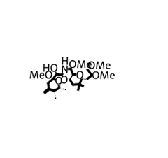 C=C1C[C@](OC)([C@H](O)C(=O)N[C@@H](OC)[C@@H]2CCC(C)(C)[C@@H](C[C@@H](COC)OC)O2)O[C@H](C)[C@@H]1C